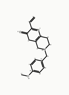 C=CC1=NC2=C(CC1=O)CN(Cc1ccc(OC)cc1)CC2